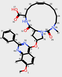 COc1ccc2c(OC3CC4C(=O)NC(C(=O)O)CCC=CCCCCN(C)C(=O)[N+]4C3)nc(-c3ccccc3)nc2c1C